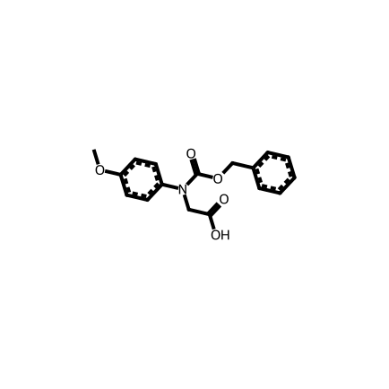 COc1ccc(N(CC(=O)O)C(=O)OCc2ccccc2)cc1